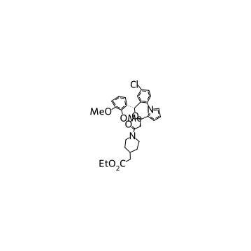 CCOC(=O)CC1CCN(C(=O)C[C@H]2O[C@H](c3cccc(OC)c3OC)c3cc(Cl)ccc3-n3cccc32)CC1